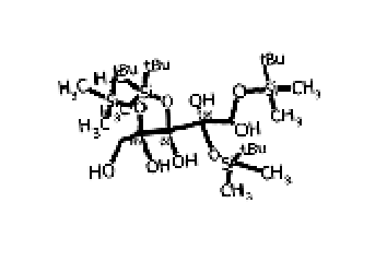 CC(C)(C)[Si](C)(C)OC(O)[C@@](O)(O[Si](C)(C)C(C)(C)C)[C@@](O)(O[Si](C)(C)C(C)(C)C)[C@](O)(CO)O[Si](C)(C)C(C)(C)C